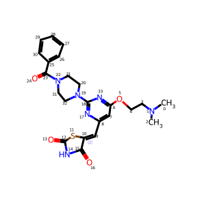 CN(C)CCOc1cc(/C=C2\SC(=O)NC2=O)nc(N2CCN(C(=O)c3ccccc3)CC2)n1